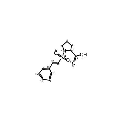 O=C(O)C1CCCN1S(=O)(=O)C=Cc1ccccc1